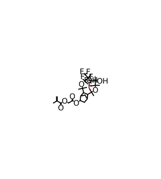 C=C(C)C(=O)OCC(=O)OC1CC2CC1C(C(C)(C)OC(C)(C)C(C)(O)C(F)(F)F)C2C(C)(C)OC(C)(C)C(C)(O)C(F)(F)F